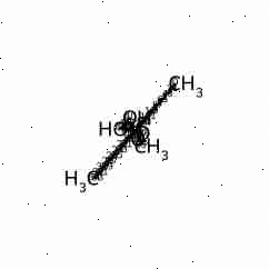 CCCCCCCCCCCCCCCCCN(CCCCCCCCCCCCCCCCC)C(=O)OCC.Oc1cccc(O)c1